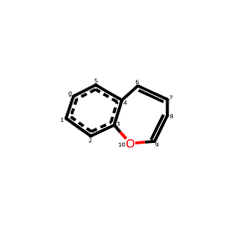 [c]1ccc2c(c1)C=CC=CO2